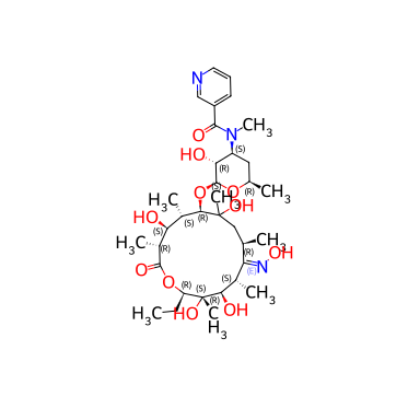 CC[C@H]1OC(=O)[C@H](C)[C@@H](O)[C@H](C)[C@@H](O[C@@H]2O[C@H](C)C[C@H](N(C)C(=O)c3cccnc3)[C@H]2O)C(C)(O)C[C@@H](C)/C(=N\O)[C@H](C)[C@@H](O)[C@]1(C)O